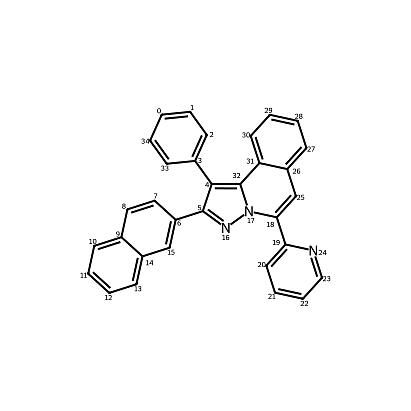 c1ccc(-c2c(-c3ccc4ccccc4c3)nn3c(-c4ccccn4)cc4ccccc4c23)cc1